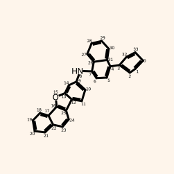 c1ccc(-c2ccc(Nc3ccc4c(c3)oc3c5ccccc5ccc43)c3ccccc23)cc1